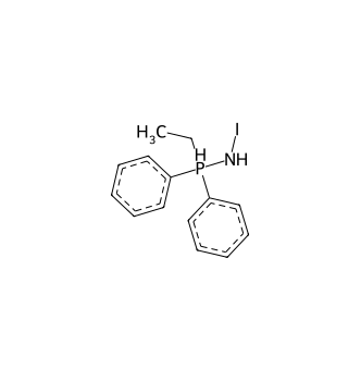 CC[PH](NI)(c1ccccc1)c1ccccc1